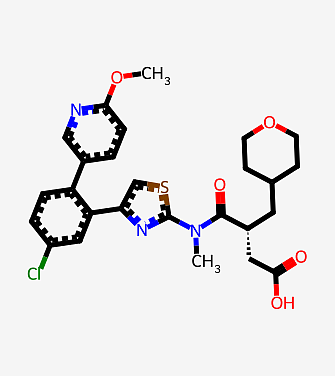 COc1ccc(-c2ccc(Cl)cc2-c2csc(N(C)C(=O)[C@@H](CC(=O)O)CC3CCOCC3)n2)cn1